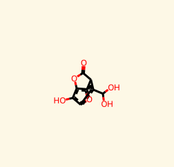 O=C1Oc2c(O)c3oc2c1c3C(O)O